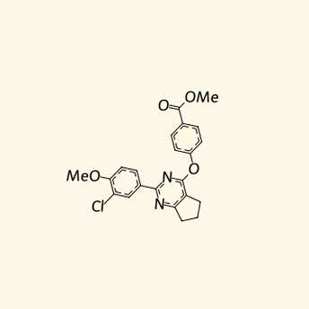 COC(=O)c1ccc(Oc2nc(-c3ccc(OC)c(Cl)c3)nc3c2CCC3)cc1